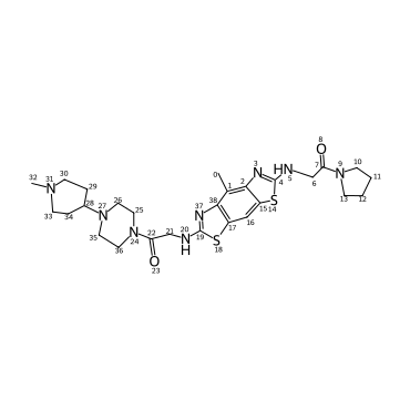 Cc1c2nc(NCC(=O)N3CCCC3)sc2cc2sc(NCC(=O)N3CCN(C4CCN(C)CC4)CC3)nc12